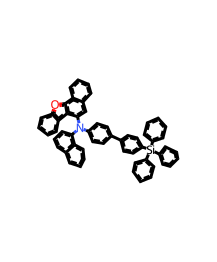 c1ccc([Si](c2ccccc2)(c2ccccc2)c2ccc(-c3ccc(N(c4cccc5ccccc45)c4cc5ccccc5c5oc6ccccc6c45)cc3)cc2)cc1